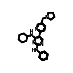 c1ccc(Nc2ncc(-c3ccc(CN4CCCC4)cn3)c(NC3CCCCC3)n2)cc1